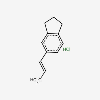 Cl.O=C(O)/C=C/c1ccc2c(c1)CCC2